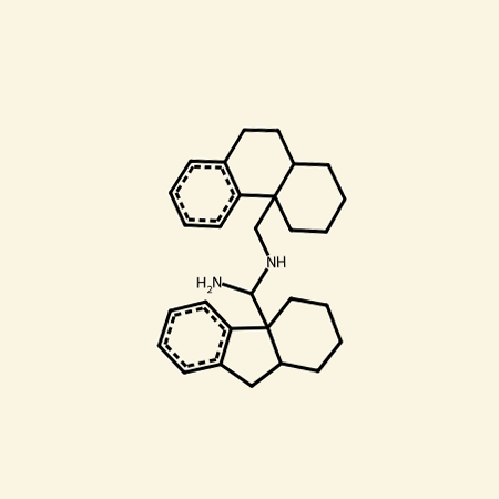 NC(NCC12CCCCC1CCc1ccccc12)C12CCCCC1Cc1ccccc12